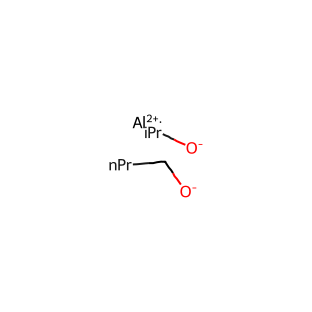 CC(C)[O-].CCCC[O-].[Al+2]